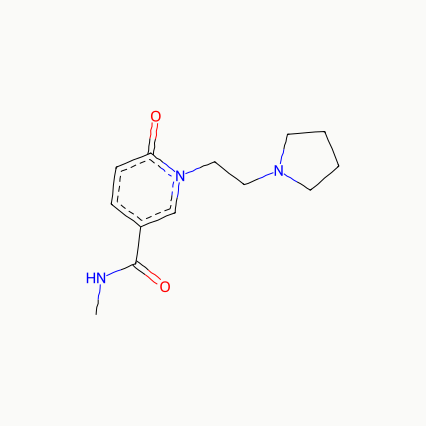 CNC(=O)c1ccc(=O)n(CCN2CCCC2)c1